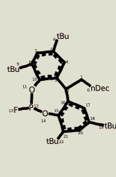 CCCCCCCCCCCC1c2cc(C(C)(C)C)cc(C(C)(C)C)c2OP(F)Oc2c1cc(C(C)(C)C)cc2C(C)(C)C